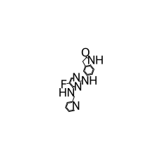 O=C1Cc2cc(Nc3ncc(F)c(NCc4ccccn4)n3)ccc2N1